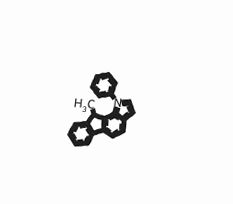 CC1c2ccccc2-c2ccc3ccn(-c4ccccc4)c3c21